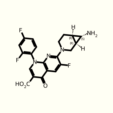 N[C@@H]1[C@H]2CN(c3nc4c(cc3F)c(=O)c(C(=O)O)cn4-c3ccc(F)cc3F)CC[C@@H]12